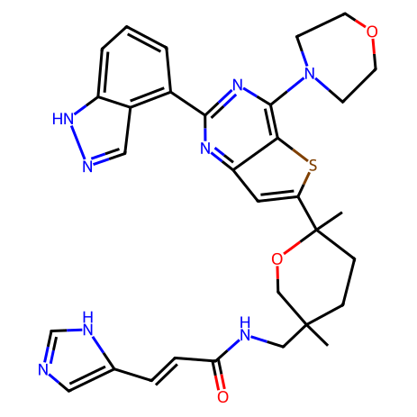 CC1(CNC(=O)/C=C/c2cnc[nH]2)CCC(C)(c2cc3nc(-c4cccc5[nH]ncc45)nc(N4CCOCC4)c3s2)OC1